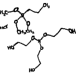 CCC[Si](OC)(OC)OC.Cl.OCCON(OCCO)OCCO